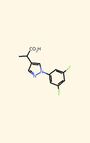 CC(C(=O)O)c1cnn(-c2cc(F)cc(F)c2)c1